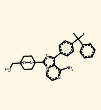 CC(F)(c1ccccc1)c1ccc(-c2nc(C34CCC(CO)(CC3)OC4)n3ccnc(N)c23)cc1